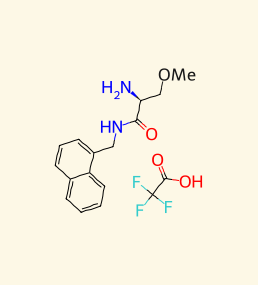 COC[C@H](N)C(=O)NCc1cccc2ccccc12.O=C(O)C(F)(F)F